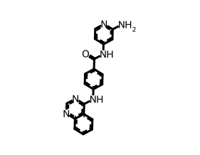 Nc1cc(NC(=O)c2ccc(Nc3ncnc4ccccc34)cc2)ccn1